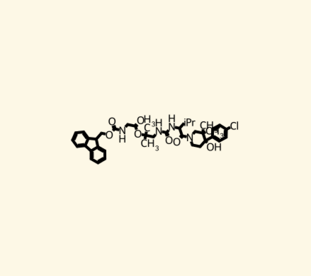 CC(C)C(NC(=O)NCC(C)(C)OC(=O)CNC(=O)OCC1c2ccccc2-c2ccccc21)C(=O)N1CCC(O)(c2ccc(Cl)cc2)C(C)(C)C1